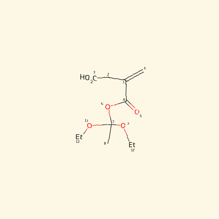 C=C(CC(=O)O)C(=O)OC(C)(OCC)OCC